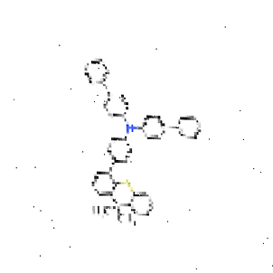 CC1(C)c2ccccc2Sc2c(-c3ccc(N(c4ccc(-c5ccccc5)cc4)c4ccc(-c5ccccc5)cc4)cc3)cccc21